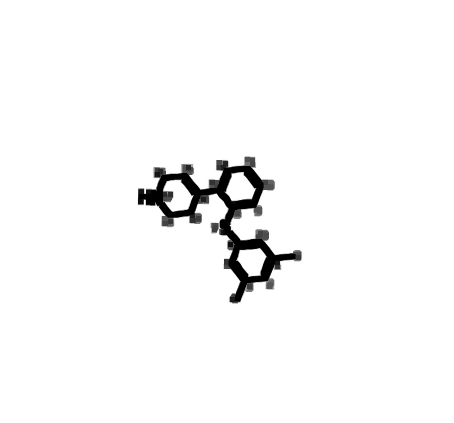 Cc1cc(C)cc(Sc2ccccc2C2=CCNCC2)c1